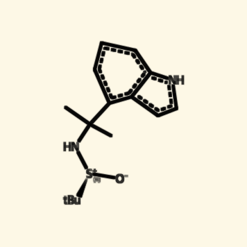 CC(C)(N[S@@+]([O-])C(C)(C)C)c1cccc2[nH]ccc12